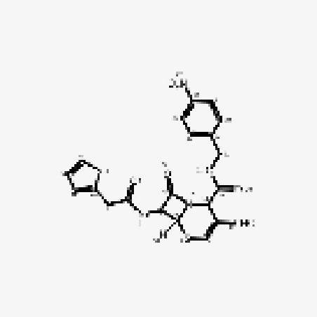 O=CC1=CS[C@H]2C(NC(=O)Cc3cccs3)C(=O)N2C1C(=O)OCc1ccc([N+](=O)[O-])cc1